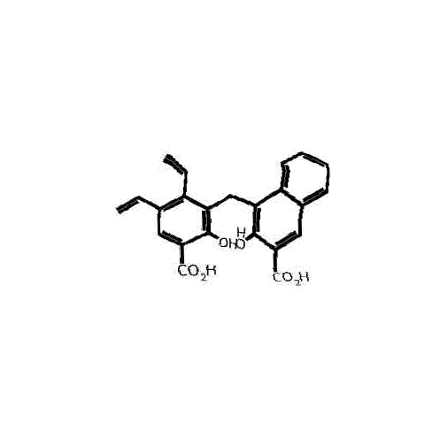 C=Cc1cc(C(=O)O)c(O)c(Cc2c(O)c(C(=O)O)cc3ccccc23)c1C=C